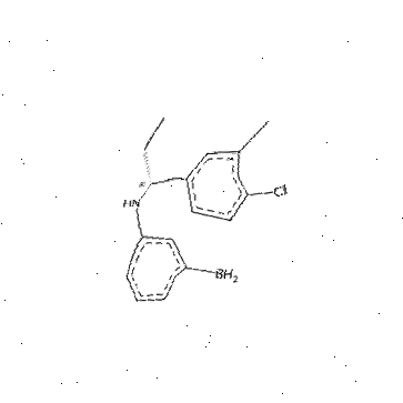 Bc1cccc(N[C@H](CC)c2ccc(Cl)c(C)c2)c1